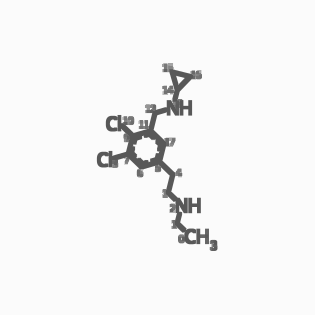 CCNCCc1cc(Cl)c(Cl)c(CNC2CC2)c1